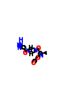 O=C(c1cc(OCC2CCOCC2)nc(C2CC2)c1)N1CC[C@@H]2CN(C(=O)c3ccc4[nH]nnc4c3)C[C@@H]2CC1